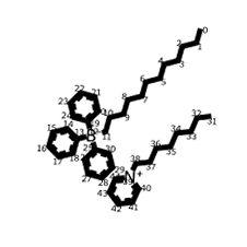 CCCCCCCCCCCC[B-](c1ccccc1)(c1ccccc1)c1ccccc1.CCCCCCCC[n+]1ccccc1